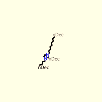 CCCCCCCCCCCCCCCCCCCN1C=CN(CCCCCCCCCCCCCC)C1CCCCCCCCCC